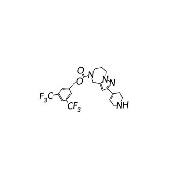 O=C(OCc1cc(C(F)(F)F)cc(C(F)(F)F)c1)N1CCCn2nc(C3=CCNCC3)cc2C1